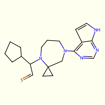 S=CC(C1CCCC1)N1CCCN(c2ncnc3[nH]ccc23)CC12CC2